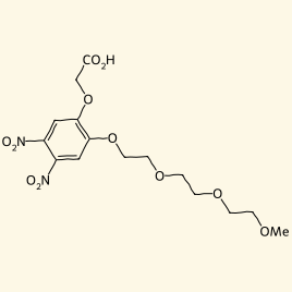 COCCOCCOCCOc1cc([N+](=O)[O-])c([N+](=O)[O-])cc1OCC(=O)O